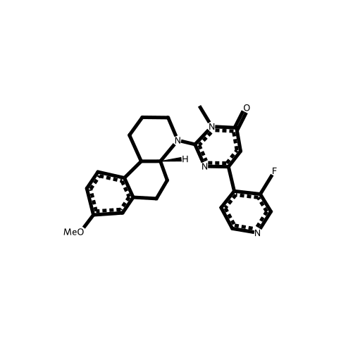 COc1ccc2c(c1)CC[C@@H]1C2CCCN1c1nc(-c2ccncc2F)cc(=O)n1C